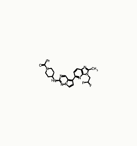 Cc1nc2ccc(-c3ccn4nc(NC5CCN(C(=O)C(C)C)CC5)ncc34)nc2n1CC(F)F